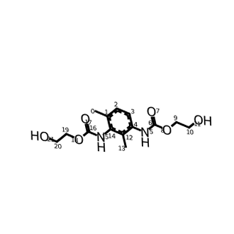 Cc1ccc(NC(=O)OCCO)c(C)c1NC(=O)OCCO